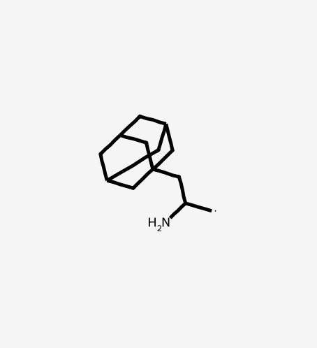 [CH2]C(N)CC12CC3CC(CC(C3)C1)C2